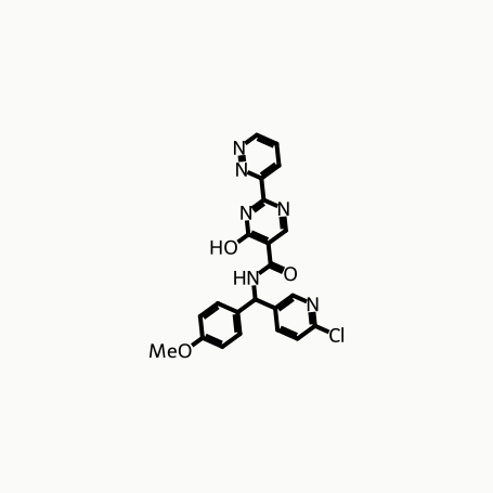 COc1ccc(C(NC(=O)c2cnc(-c3cccnn3)nc2O)c2ccc(Cl)nc2)cc1